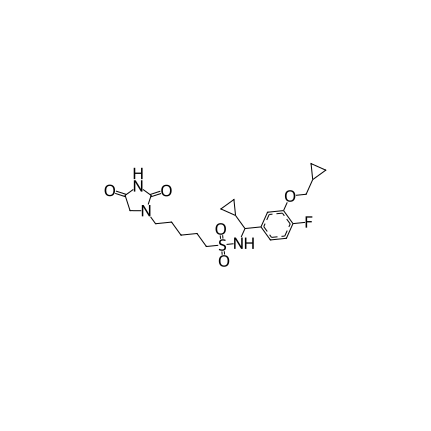 O=C1CN(CCCCCS(=O)(=O)NC(c2ccc(F)c(OCC3CC3)c2)C2CC2)C(=O)N1